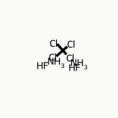 ClC(Cl)(Cl)Cl.F.F.N.N